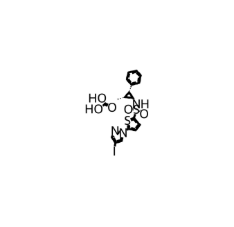 C[C@H]1[C@H](NS(=O)(=O)c2ccc(-n3cc(I)cn3)s2)[C@H]1c1ccccc1.O=C(O)O